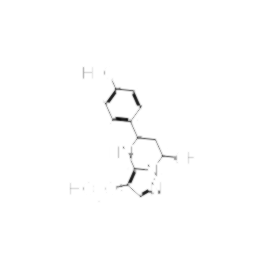 Cc1ccc(C2CC(C(F)(F)F)n3ncc(C(=O)O)c3N2)cc1